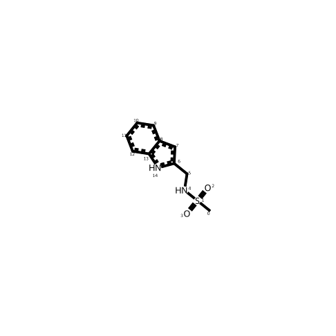 CS(=O)(=O)NCc1cc2ccccc2[nH]1